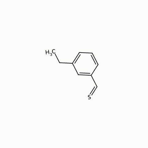 CCc1cccc(C=S)c1